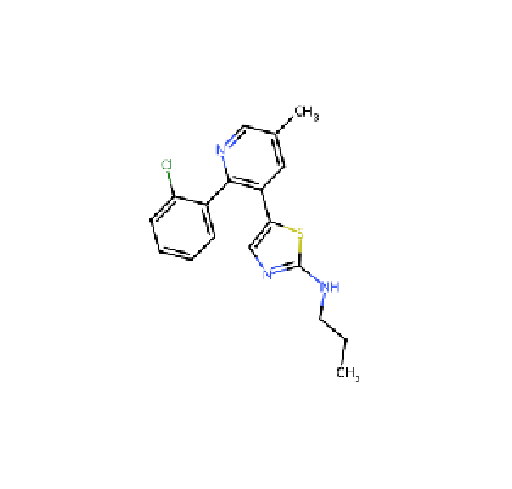 CCCNc1ncc(-c2cc(C)cnc2-c2ccccc2Cl)s1